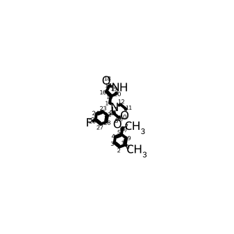 Cc1cccc([C@@H](C)O[C@H]2OCCN(CC3=CC(=O)NC3)[C@H]2c2ccc(F)cc2)c1